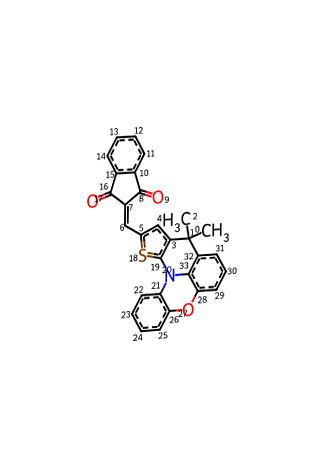 CC1(C)c2cc(C=C3C(=O)c4ccccc4C3=O)sc2N2c3ccccc3Oc3cccc1c32